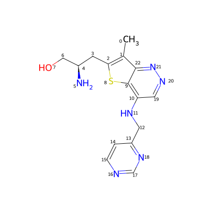 Cc1c(C[C@@H](N)CO)sc2c(NCc3ccncn3)cnnc12